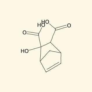 O=C(O)C1C2C=CC(C2)C1(O)C(=O)O